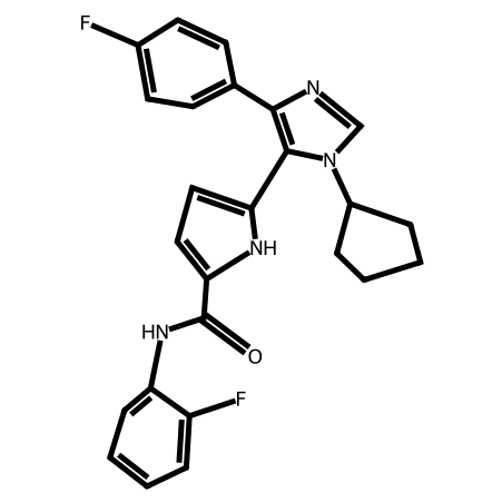 O=C(Nc1ccccc1F)c1ccc(-c2c(-c3ccc(F)cc3)ncn2C2CCCC2)[nH]1